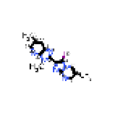 Cn1c(-c2nc3ncc(C(F)(F)F)cn3c2I)nc2cc(C(F)(F)F)cnc21